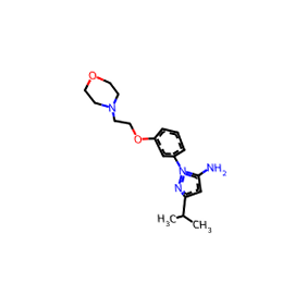 CC(C)c1cc(N)n(-c2cccc(OCCN3CCOCC3)c2)n1